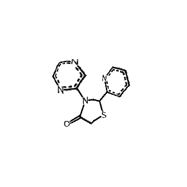 O=C1CSC(c2ccccn2)N1c1cnccn1